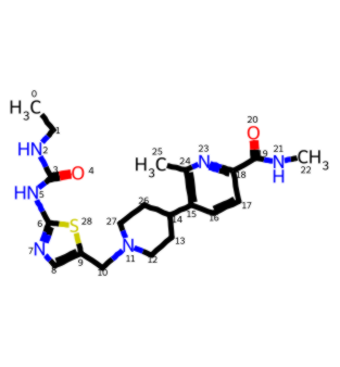 CCNC(=O)Nc1ncc(CN2CCC(c3ccc(C(=O)NC)nc3C)CC2)s1